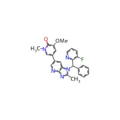 COc1cc(-c2cnc3nc(C)n(C(c4ccccc4)c4ncccc4F)c3c2)cn(C)c1=O